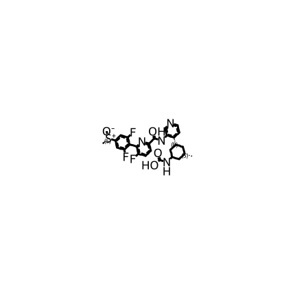 C[C@@H]1CC(NC(=O)O)C[C@H](c2ccncc2NC(=O)c2ccc(F)c(-c3c(F)cc([S@@+](C)[O-])cc3F)n2)C1